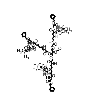 CC(C)(C)OC(=O)NNC(CCCCNC(=O)COCC(OCC=O)C(COCC(=O)NCCCCC(NC(=O)NC(=O)OC(C)(C)C)C(=O)NCC(=O)OCc1ccccc1)OCC(=O)NCCCCC(NC(=O)NC(=O)OC(C)(C)C)C(=O)NCC(=O)OCc1ccccc1)C(=O)NCC(=O)OCc1ccccc1